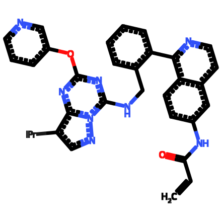 C=CC(=O)Nc1ccc2c(-c3ccccc3CNc3nc(Oc4cccnc4)nc4c(C(C)C)cnn34)nccc2c1